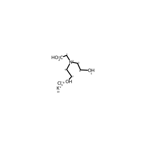 O=C(O)CN(CCO)CCO.[Cl-].[K+]